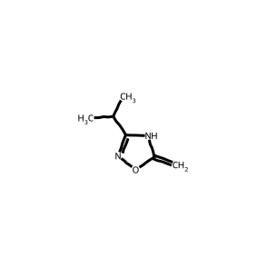 C=C1NC(C(C)C)=NO1